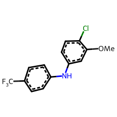 COc1cc(Nc2ccc(C(F)(F)F)cc2)ccc1Cl